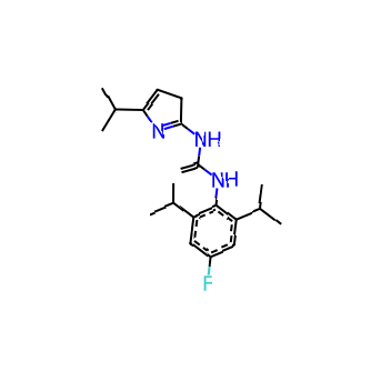 C=C(NC1=NC(C(C)C)=CC1)Nc1c(C(C)C)cc(F)cc1C(C)C